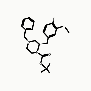 COc1cc(C[C@@H]2CN(Cc3ccccc3)CCN2C(=O)OC(C)(C)C)ccc1F